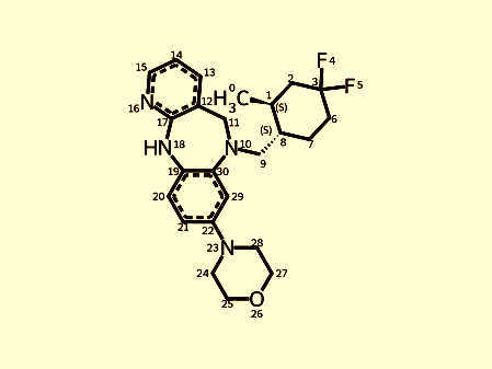 C[C@H]1CC(F)(F)CC[C@@H]1CN1Cc2cccnc2Nc2ccc(N3CCOCC3)cc21